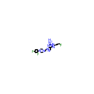 Nc1nc2c(cnn2CCN2CCN(c3ccc(F)cc3F)CC2)c2nc(C#CCF)nn12